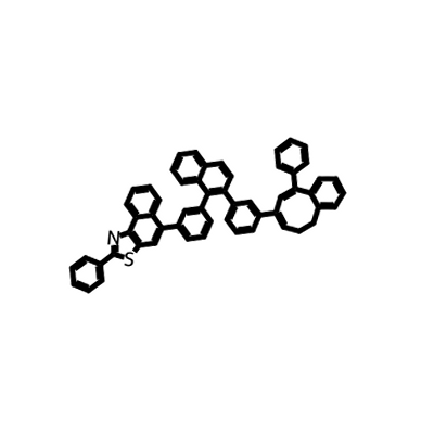 C1=C(/c2ccccc2)c2ccccc2CC\C=C/1c1cccc(-c2ccc3ccccc3c2-c2cccc(-c3cc4sc(-c5ccccc5)nc4c4ccccc34)c2)c1